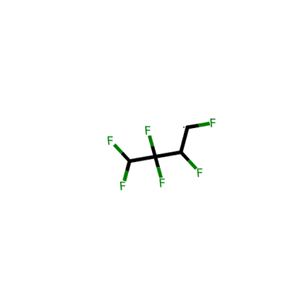 F[CH]C(F)C(F)(F)C(F)F